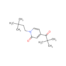 CC(C)(C)CCn1ccc(C(=O)C(C)(C)C)cc1=O